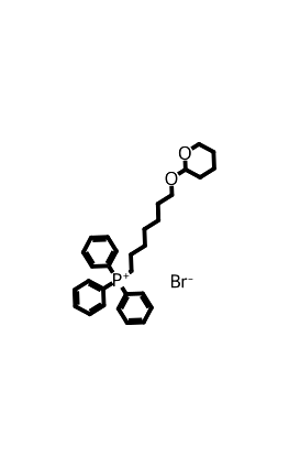 [Br-].c1ccc([P+](CCCCCCCOC2CCCCO2)(c2ccccc2)c2ccccc2)cc1